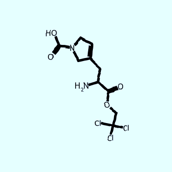 NC(CC1=CCN(C(=O)O)C1)C(=O)OCC(Cl)(Cl)Cl